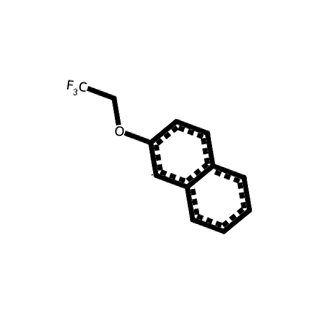 FC(F)(F)COc1[c]c2ccccc2cc1